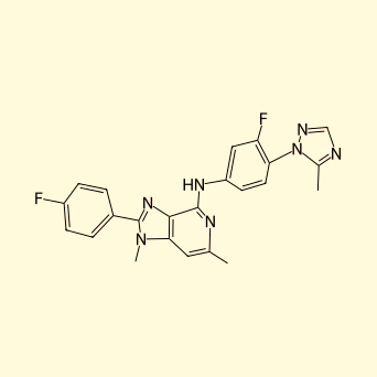 Cc1cc2c(nc(-c3ccc(F)cc3)n2C)c(Nc2ccc(-n3ncnc3C)c(F)c2)n1